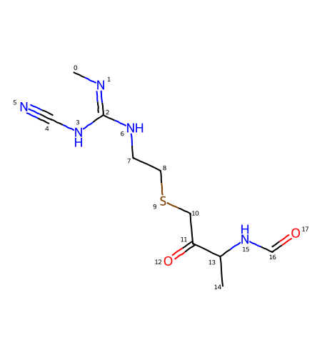 C/N=C(\NC#N)NCCSCC(=O)C(C)NC=O